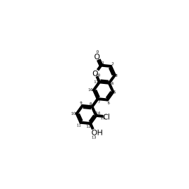 O=c1ccc2ccc(-c3cccc(O)c3Cl)cc2o1